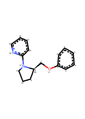 [c]1ccccc1OC[C@H]1CCCN1c1ccccn1